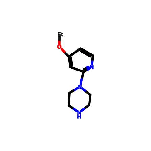 CCOc1ccnc(N2CCNCC2)c1